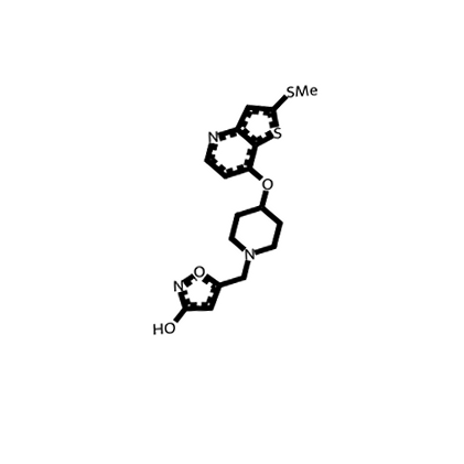 CSc1cc2nccc(OC3CCN(Cc4cc(O)no4)CC3)c2s1